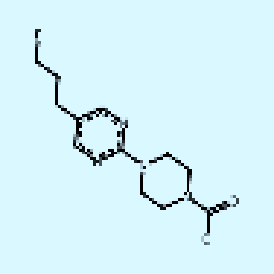 O=C(O)N1CCN(c2ncc(CCCF)cn2)CC1